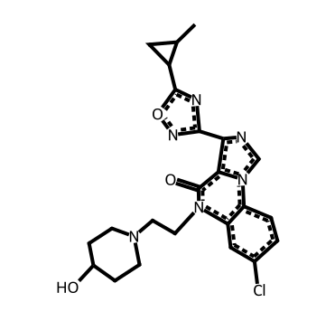 CC1CC1c1nc(-c2ncn3c2c(=O)n(CCN2CCC(O)CC2)c2cc(Cl)ccc23)no1